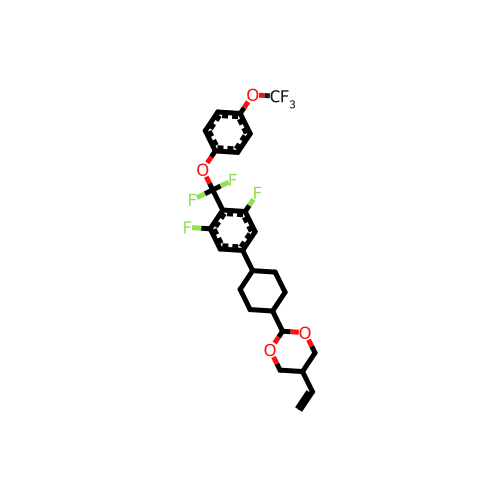 C=CC1COC(C2CCC(c3cc(F)c(C(F)(F)Oc4ccc(OC(F)(F)F)cc4)c(F)c3)CC2)OC1